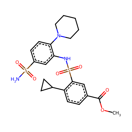 COC(=O)c1ccc(C2CC2)c(S(=O)(=O)Nc2cc(S(N)(=O)=O)ccc2N2CCCCC2)c1